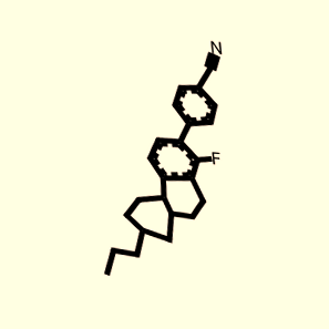 CCCC1CCC2c3ccc(-c4ccc(C#N)cc4)c(F)c3CCC2C1